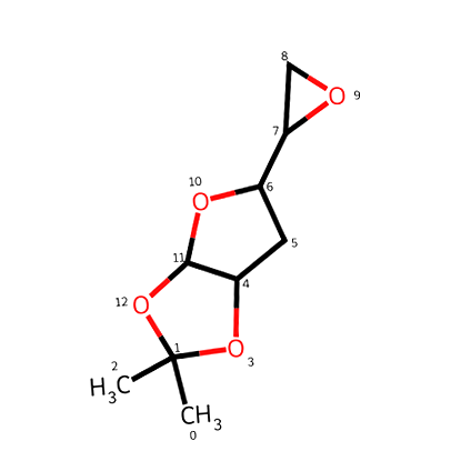 CC1(C)OC2CC(C3CO3)OC2O1